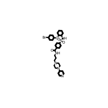 O=C(NCCCN1CCN(c2ccncc2)CC1)c1ccc(S(=O)(=O)Nc2ccccc2Oc2ccc(Br)cc2)cc1